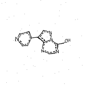 Oc1ncnc2c(-c3ccncc3)cnn12